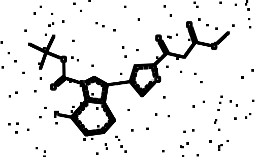 COC(=O)CC(=O)c1cc(-c2cn(C(=O)OC(C)(C)C)c3c(F)cccc23)co1